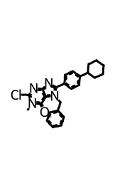 Cn1c(Cl)nc2nc(-c3ccc(C4CCCCC4)cc3)n(Cc3ccccc3)c2c1=O